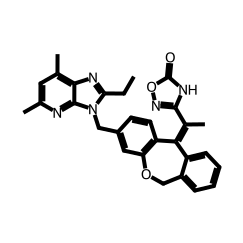 CCc1nc2c(C)cc(C)nc2n1Cc1ccc2c(c1)OCc1ccccc1C2=C(C)c1noc(=O)[nH]1